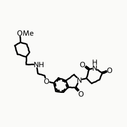 COC1CCC(CNCCOc2ccc3c(c2)CN(C2CCC(=O)NC2=O)C3=O)CC1